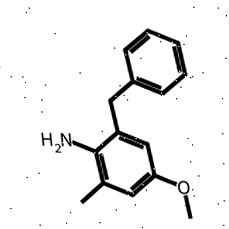 COc1cc(C)c(N)c(Cc2ccccc2)c1